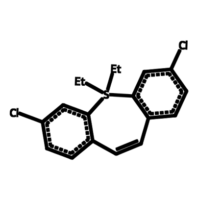 CCS1(CC)c2cc(Cl)ccc2C=Cc2ccc(Cl)cc21